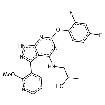 COc1ncccc1-c1n[nH]c2nc(Oc3ccc(F)cc3F)nc(NCC(C)O)c12